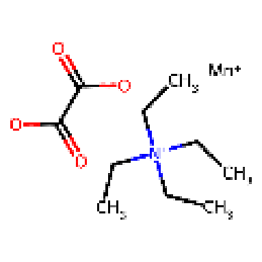 CC[N+](CC)(CC)CC.O=C([O-])C(=O)[O-].[Mn+]